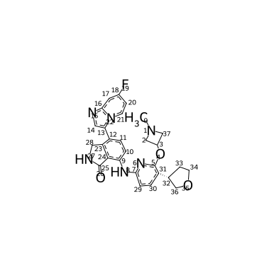 CN1CC(Oc2nc(Nc3ccc(-c4cnc5cc(F)ccn45)c4c3C(=O)NC4)ccc2[C@@H]2CCOC2)C1